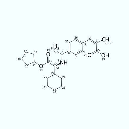 CC(=Cc1ccc(C(C)N[C@H](C(=O)OC2CCCC2)C2CCCCC2)cc1)C(=O)O